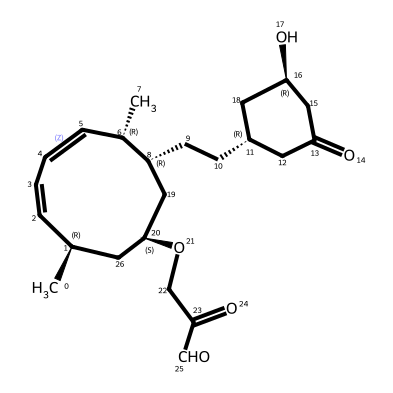 C[C@H]1C=C/C=C\[C@H](C)[C@H](CC[C@H]2CC(=O)C[C@H](O)C2)C[C@@H](OCC(=O)C=O)C1